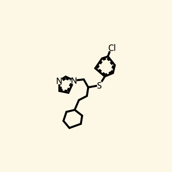 Clc1ccc(SC(CCC2CCCCC2)Cn2ccnc2)cc1